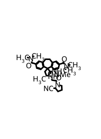 CNNC(=O)C1(C[C@@H](C)NCC(=O)N2CCCC2C#N)c2ccc(C(=O)N(C)C)cc2CCc2cc(C(=O)N(C)C)ccc21